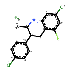 CC(N)C(Cc1ccc(Cl)cc1F)c1ccc(Cl)cc1.Cl